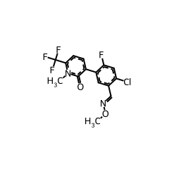 CON=Cc1cc(-c2ccc(C(F)(F)F)n(C)c2=O)c(F)cc1Cl